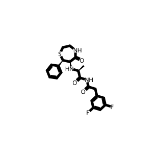 C[C@H](N[C@@H]1C(=O)NCCS[C@@H]1c1ccccc1)C(=O)NC(=O)Cc1cc(F)cc(F)c1